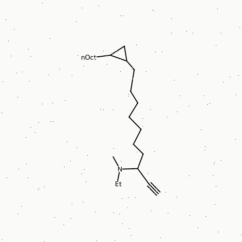 C#CC(CCCCCCCC1CC1CCCCCCCC)N(C)CC